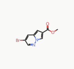 COC(=O)c1cc2cc(Br)cnn2c1